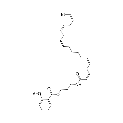 CC/C=C\C/C=C\C/C=C\CCCC/C=C\C/C=C\C(=O)NCCCOC(=O)c1ccccc1OC(C)=O